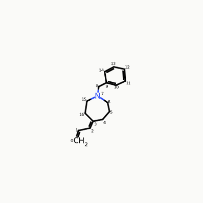 C=CC=C1CCCN(Cc2ccccc2)CC1